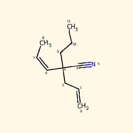 C=CCC(C#N)(/C=C\C)CCC